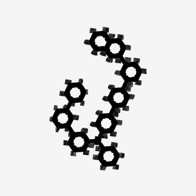 c1ccc(-c2cccc(-c3cccc(N(c4ccccc4)c4ccc(-c5ccc(-c6cccc(-c7ccc8ccccc8c7)c6)cc5)cc4)c3)c2)cc1